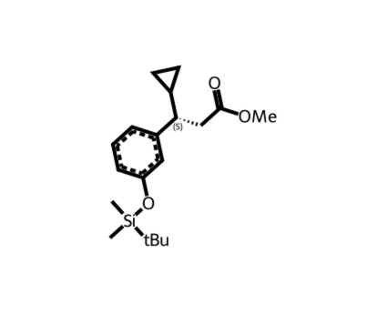 COC(=O)C[C@H](c1cccc(O[Si](C)(C)C(C)(C)C)c1)C1CC1